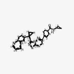 O=C(NC1CC1)c1ccc(-c2cnc3nnc(C4(c5ccc6ncccc6c5)CC4)n3n2)cc1